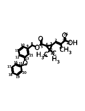 C/C(=C\C1C(C(=O)OCc2cccc(Oc3ccccc3)c2)C1(C)C)C(=O)O